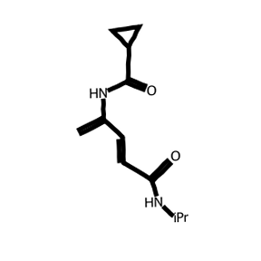 C=C(/C=C/C(=O)NC(C)C)NC(=O)C1CC1